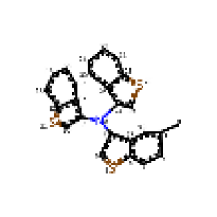 Cc1ccc2scc(N(c3csc4ccccc34)c3csc4ccccc34)c2c1